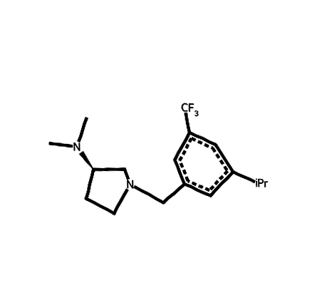 CC(C)c1cc(CN2CC[C@@H](N(C)C)C2)cc(C(F)(F)F)c1